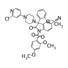 CCOc1ccccc1C1(N2CCN(c3ccnc(Cl)c3)CC2)C(=O)N(S(=O)(=O)c2ccc(OC)cc2OC)c2ccc(C#N)cc21